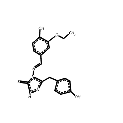 CCOc1cc(C=Nn2c(Cc3ccc(O)cc3)n[nH]c2=S)ccc1O